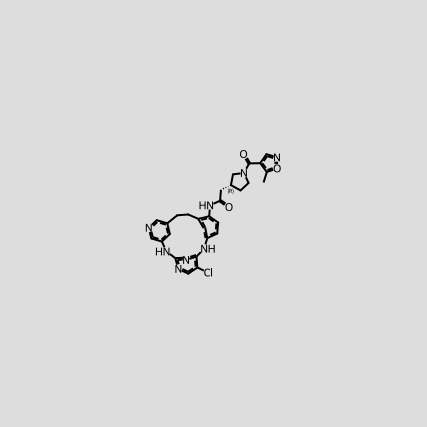 Cc1oncc1C(=O)N1CC[C@H](CC(=O)Nc2ccc3cc2CCc2cncc(c2)Nc2ncc(Cl)c(n2)N3)C1